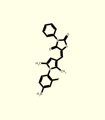 Bc1ccc(-n2c(C)cc(C=C3SC(=O)N(c4ccccc4)C3=O)c2C)c(F)c1